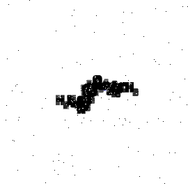 Cn1cc(/C=C/C(=O)N2CCC[C@@H](Cc3cnc(CN)o3)C2)cn1